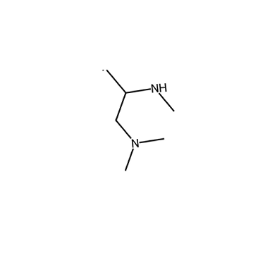 [CH2]C(CN(C)C)NC